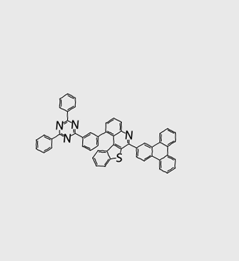 c1ccc(-c2nc(-c3ccccc3)nc(-c3cccc(-c4cccc5nc(-c6ccc7c8ccccc8c8ccccc8c7c6)c6sc7ccccc7c6c45)c3)n2)cc1